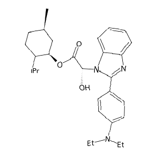 CCN(CC)c1ccc(-c2nc3ccccc3n2[C@H](O)C(=O)O[C@@H]2C[C@H](C)CCC2C(C)C)cc1